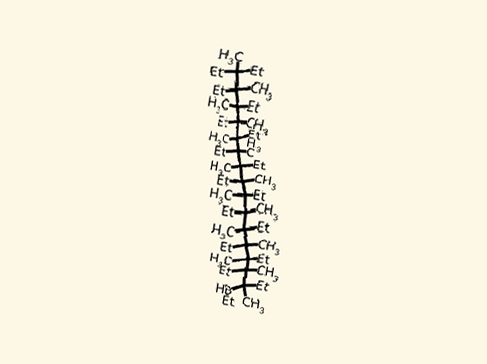 CCBC(C)(CC)C(C)(CC)C(C)(CC)C(C)(CC)C(C)(CC)C(C)(CC)C(C)(CC)C(C)(CC)C(C)(CC)C(C)(CC)C(C)(CC)C(C)(CC)C(C)(CC)C(C)(CC)C(C)(CC)CC